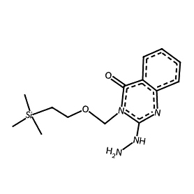 C[Si](C)(C)CCOCn1c(NN)nc2ccccc2c1=O